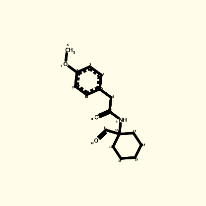 COc1ccc(CC(=O)NC2(C=O)CCCCC2)cc1